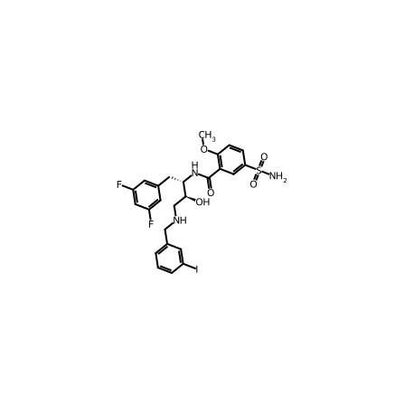 COc1ccc(S(N)(=O)=O)cc1C(=O)N[C@@H](Cc1cc(F)cc(F)c1)[C@@H](O)CNCc1cccc(I)c1